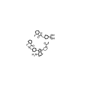 C=CC(=O)N1CCC[C@@H](n2nc(-c3ccc(CN(C)C(=O)c4ccccc4F)cc3)c3c(N)ncnc32)C1.O=C(NCc1ccc(B(O)O)cc1)c1ccccc1F